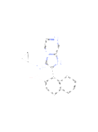 Oc1ccc2ccccc2c1-c1nc2cnccn2c1NC1CC1